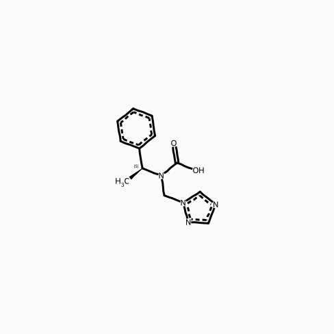 C[C@@H](c1ccccc1)N(Cn1cncn1)C(=O)O